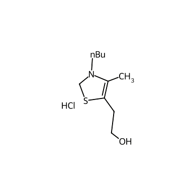 CCCCN1CSC(CCO)=C1C.Cl